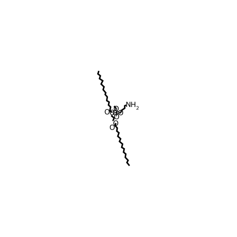 CCCCCCCCCCCCCCCC(=O)OCC(COC(=O)CCCCCCCCCCCCCCC)OP(OCCCN)OOC